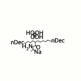 CCCCCCCCCCCCCCCCC(CCCCCCCCCCCCCC)C(=O)C(N)[CH](C)[Na].O=P(O)(O)O